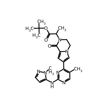 Cc1cnc(Nc2ccnn2C)nc1-c1cc2n(c1)CCN(C(C)C(=O)OC(C)(C)C)C2=O